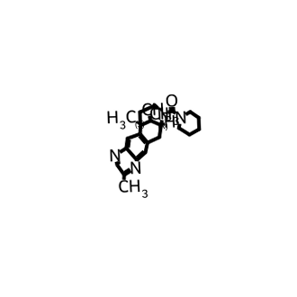 Cc1cnc2cc3c(cc2n1)C[C@H]1N(C(=O)N2CCCCC2)CC[C@]3(C)C1(C)C